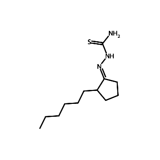 CCCCCCC1CCC/C1=N\NC(N)=S